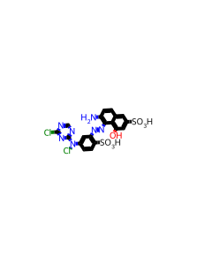 Nc1ccc2cc(S(=O)(=O)O)cc(O)c2c1N=Nc1cc(N(Cl)c2ncnc(Cl)n2)ccc1S(=O)(=O)O